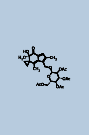 CC(=O)OC[C@@H]1O[C@@H](OCC2=C(C)C=C3C(=O)[C@](C)(O)C4(CC4)C(C)=C32)[C@@H](OC(C)=O)[C@H](OC(C)=O)[C@H]1OC(C)=O